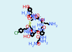 C[C@@H](O)[C@@H]1NC(=O)[C@H](CCCCN)NC(=O)[C@@H](Cc2ccc(NC(=O)[C@@H](N)CC(N)=O)cc2)NC(=O)[C@H](Cc2ccc(O)cc2)NC(=O)[C@H](NC(=O)[C@@H](N)Cc2ccc(Cl)cc2)CSSC[C@@H](C(=O)N[C@H](Cc2ccc(O)cc2)C(N)=O)NC1=O